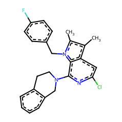 Cc1c(C)n(Cc2ccc(F)cc2)c2c(N3CCc4ccccc4C3)nc(Cl)cc12